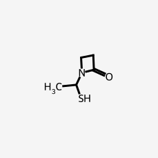 CC(S)N1CCC1=O